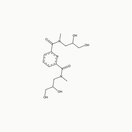 CN(CC(O)CO)C(=O)c1cccc(C(=O)N(C)CC(O)CO)n1